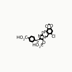 CCCc1nc(Sc2ccc(C(=O)O)cc2)c(OC(=O)O)n1Cc1cc2c(cc1Cl)OCO2